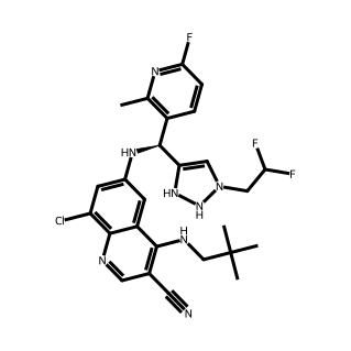 Cc1nc(F)ccc1[C@H](Nc1cc(Cl)c2ncc(C#N)c(NCC(C)(C)C)c2c1)C1=CN(CC(F)F)NN1